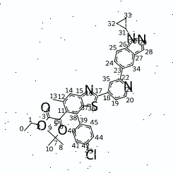 CCOC(=O)[C@@H](OC(C)(C)C)c1c(C)cc2nc(-c3ccnc(-c4ccc5c(cnn5C5CC5)c4)c3)sc2c1-c1ccc(Cl)cc1